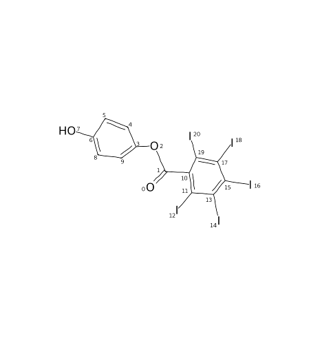 O=C(Oc1ccc(O)cc1)c1c(I)c(I)c(I)c(I)c1I